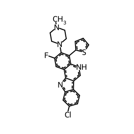 CN1CCN(c2c(F)cc3c4nc5cc(Cl)ccc5c-4c[nH]c3c2-c2cccs2)CC1